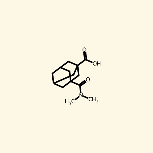 CN(C)C(=O)C12CC3CC(CC(C(=O)O)(C3)C1)C2